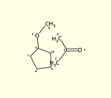 CC(C)=O.COC1CCCC1